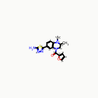 CC(=O)N1c2ccc(-c3nnc(N)s3)cc2N(C(=O)c2ccco2)CC1C